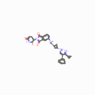 N=C(/C(=C\N[C@H]1C[C@H](CNc2ccc3c(c2)C(=O)N(C2CCC(=O)NC2=O)C3=O)C1)c1ccccc1)C1CC1